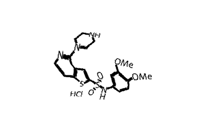 COc1ccc(NS(=O)(=O)c2cc3c(N4CCNCC4)nccc3s2)cc1OC.Cl